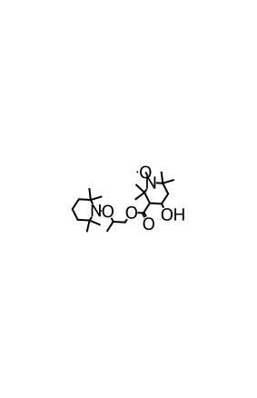 CC(COC(=O)C1C(O)CC(C)(C)N([O])C1(C)C)ON1C(C)(C)CCCC1(C)C